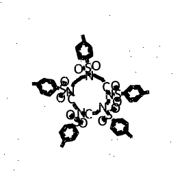 Cc1ccc(S(=O)(=O)N2CCCN(S(=O)(=O)c3ccc(C)cc3)CN(S(=O)(=O)c3ccc(C)cc3)CCN(S(=O)(=O)c3ccc(C)cc3)CCN(S(=O)(=O)c3ccc(C)cc3)CC2)cc1